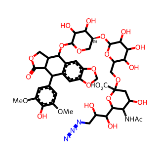 COc1cc(C2c3cc4c(cc3C(OC3OC[C@H](OC5OC(COC6(C(=O)O)CC(O)C(NC(C)=O)C(C(O)C(O)CN=[N+]=[N-])O6)C(O)C(O)C5O)C(O)C3O)C3COC(=O)C23)OCO4)cc(OC)c1O